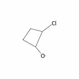 [O]C1CCC1Cl